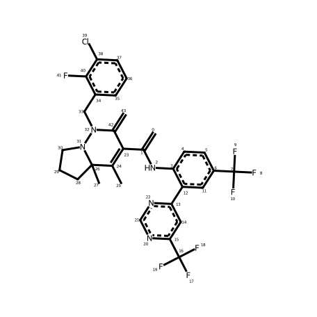 C=C(Nc1ccc(C(F)(F)F)cc1-c1cc(C(F)(F)F)ncn1)C1=C(C)C2(C)CCCN2N(Cc2cccc(Cl)c2F)C1=C